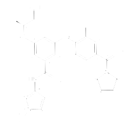 C[C@@H](CO)Oc1cc(Oc2ccc(C(=O)N3CCCC3)cc2F)cc(C(=O)Nc2ccn(C)n2)c1